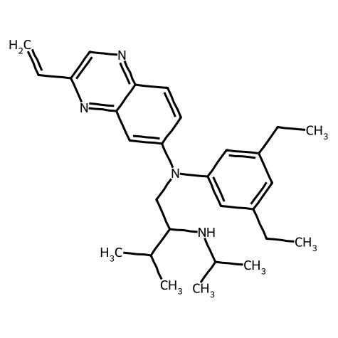 C=Cc1cnc2ccc(N(CC(NC(C)C)C(C)C)c3cc(CC)cc(CC)c3)cc2n1